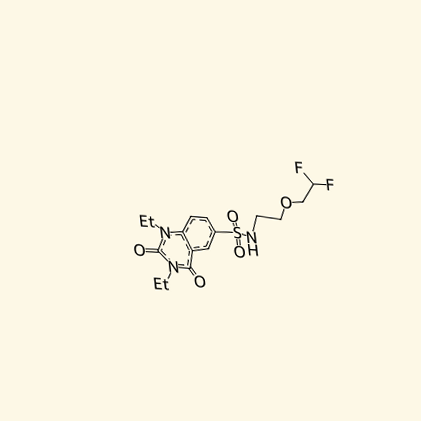 CCn1c(=O)c2cc(S(=O)(=O)NCCOCC(F)F)ccc2n(CC)c1=O